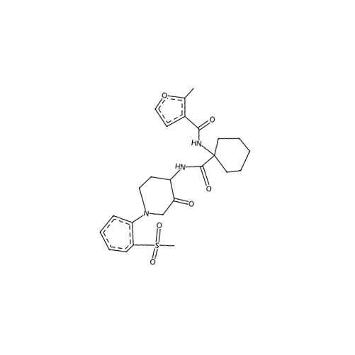 Cc1occc1C(=O)NC1(C(=O)NC2CCN(c3ccccc3S(C)(=O)=O)CC2=O)CCCCC1